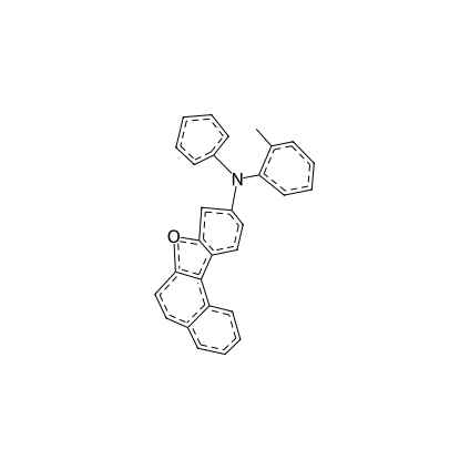 Cc1ccccc1N(c1ccccc1)c1ccc2c(c1)oc1ccc3ccccc3c12